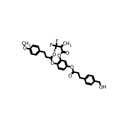 C=C(C(=O)Oc1cc(OC(=O)CCc2ccc(CO)cc2)ccc1OC(=O)CCc1ccc(OC)cc1)C(F)(F)F